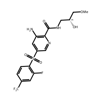 COC[C@H](O)CNC(=O)c1ncc(S(=O)(=O)c2ccc(C(F)(F)F)cc2F)cc1N